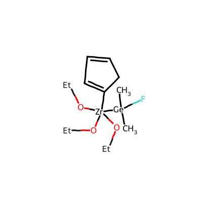 CC[O][Zr]([O]CC)([O]CC)([C]1=CC=CC1)[Ge]([CH3])([CH3])[F]